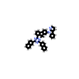 CC1(C)c2cc(-n3c4ccccc4c4cccnc43)ccc2-c2cccc(-c3nc(-c4ccc5ccccc5c4)nc(-c4ccc5ccccc5c4)n3)c21